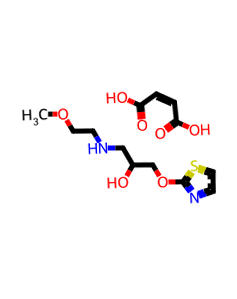 COCCNCC(O)COc1nccs1.O=C(O)/C=C\C(=O)O